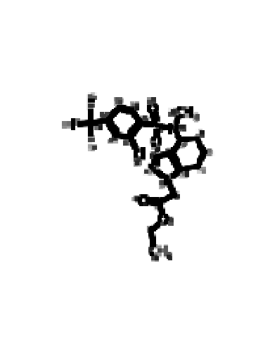 CCOC(=O)Cn1ncc2c1CCCC2N(C)S(=O)(=O)c1ccc(C(F)(F)F)cc1Cl